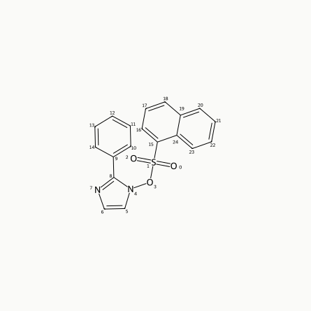 O=S(=O)(On1ccnc1-c1ccccc1)c1cccc2ccccc12